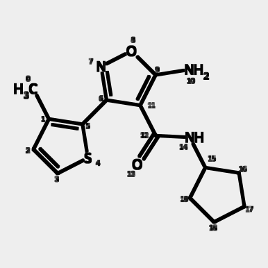 Cc1ccsc1-c1noc(N)c1C(=O)NC1CCCC1